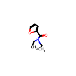 CCN(CC)C(=O)c1ccco1